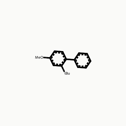 COc1ccc(-c2ccccc2)c(C(C)(C)C)c1